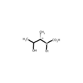 CCN(C(=O)O)[C@@H](C)C(C)O